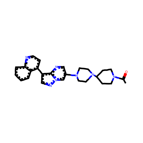 CC(=O)N1CCC(N2CCN(c3cnc4c(-c5ccnc6ccccc56)cnn4c3)CC2)CC1